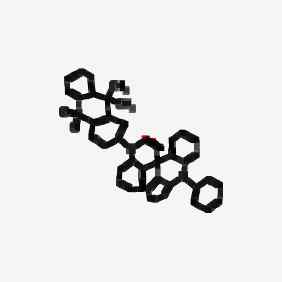 CC1(C)c2ccccc2S(=O)(=O)c2ccc(N3c4ccccc4C4(c5ccccc5N(c5ccccc5)c5ccccc54)c4ccccc43)cc21